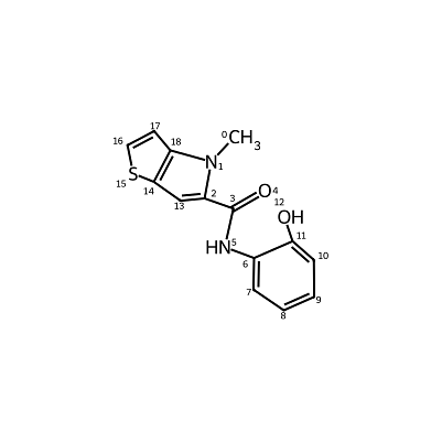 Cn1c(C(=O)Nc2ccccc2O)cc2sccc21